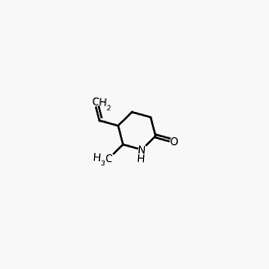 C=CC1CCC(=O)NC1C